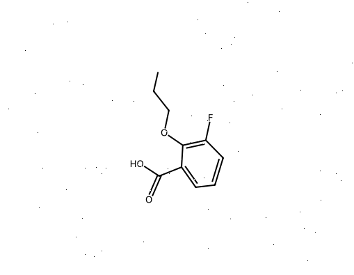 CCCOc1c(F)cccc1C(=O)O